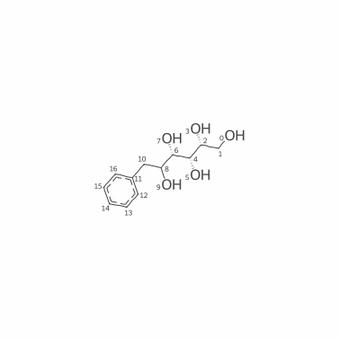 OC[C@@H](O)[C@H](O)[C@@H](O)C(O)Cc1ccccc1